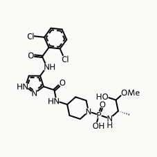 COC(O)[C@H](C)NP(=O)(O)N1CCC(NC(=O)c2n[nH]cc2NC(=O)c2c(Cl)cccc2Cl)CC1